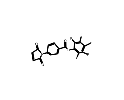 O=C(Oc1c(F)c(F)c(F)c(F)c1F)c1ccc(N2C(=O)C=CC2=O)cc1